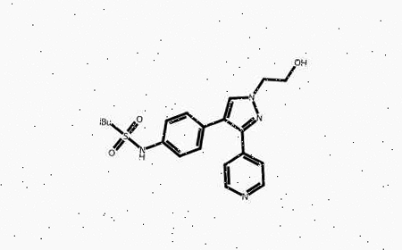 CCC(C)S(=O)(=O)Nc1ccc(-c2cn(CCO)nc2-c2ccncc2)cc1